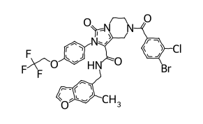 Cc1cc2occc2cc1CNC(=O)c1c2n(c(=O)n1-c1ccc(OCC(F)(F)F)cc1)CCN(C(=O)c1ccc(Br)c(Cl)c1)C2